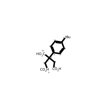 CC(C)(C)c1ccc(C(CC(=O)O)(CC(=O)O)C(=O)O)cc1